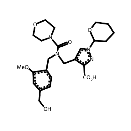 COc1cc(CO)ccc1CN(Cc1cn(C2CCCCO2)nc1C(=O)O)C(=O)N1CCOCC1